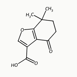 CC1(C)CCC(=O)c2c(C(=O)O)coc21